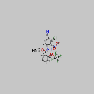 N#Cc1ccc(NC(=O)c2ccccc2OC(F)(F)C(F)F)c([N+](=O)[O-])c1Cl.[NaH]